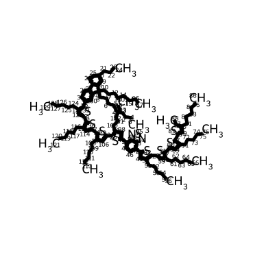 CCCCCCCCCC1(CCCCCCCC)c2cc(CCCC)ccc2-c2ccc(-c3sc(-c4sc(-c5sc(-c6sc(-c7ccc(-c8cc(CCCCCC)c(-c9cc(CCCCCC)c(-c%10cc(CCCCCC)c(-c%11cc(CCCCCC)c(C)s%11)s%10)s9)s8)c8nsnc78)cc6CCCCCC)cc5CCCCCC)cc4CCCCCC)cc3CCCCCC)cc21